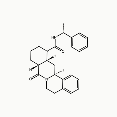 C[C@@H](NC(=O)N1CCC[C@H]2C(=O)N3CCc4ccccc4[C@@H]3C[C@H]21)c1ccccc1